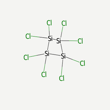 Cl[Si]1(Cl)[Si](Cl)(Cl)[Si](Cl)(Cl)[Si]1(Cl)Cl